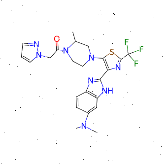 CC1CN(c2sc(C(F)(F)F)nc2-c2nc3ccc(N(C)C)cc3[nH]2)CCN1C(=O)Cn1cccn1